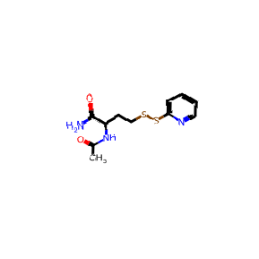 CC(=O)NC(CCSSc1ccccn1)C(N)=O